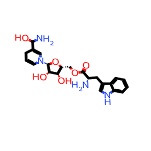 NC(O)C1=CN([C@@H]2O[C@H](COC(=O)[C@@H](N)Cc3c[nH]c4ccccc34)[C@@H](O)[C@H]2O)C=CC1